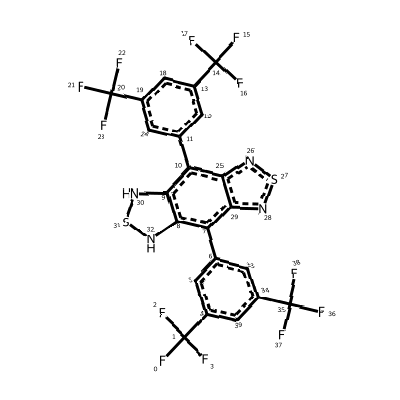 FC(F)(F)c1cc(-c2c3c(c(-c4cc(C(F)(F)F)cc(C(F)(F)F)c4)c4nsnc24)NSN3)cc(C(F)(F)F)c1